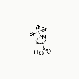 O=C(O)c1ccc(C(Br)(Br)Br)nc1